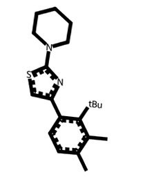 Cc1ccc(-c2csc(N3CCCCC3)n2)c(C(C)(C)C)c1C